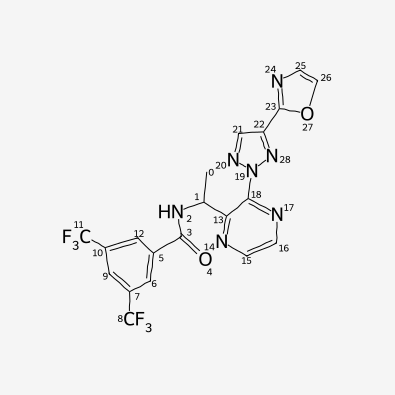 CC(NC(=O)c1cc(C(F)(F)F)cc(C(F)(F)F)c1)c1nccnc1-n1ncc(-c2ncco2)n1